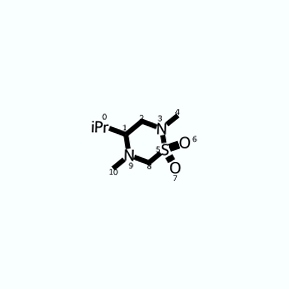 CC(C)C1CN(C)S(=O)(=O)CN1C